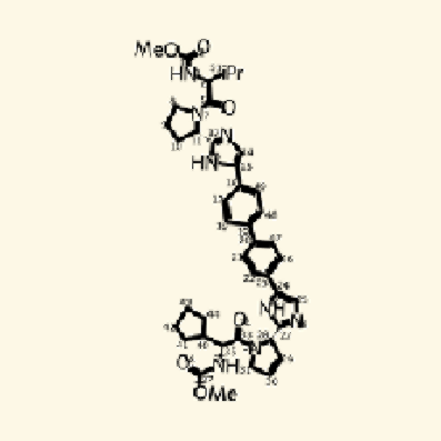 COC(=O)NC(C(=O)N1CCC[C@H]1c1ncc(-c2ccc(-c3ccc(-c4cnc([C@@H]5C=CCN5C(=O)[C@@H](NC(=O)OC)C5CCCC5)[nH]4)cc3)cc2)[nH]1)C(C)C